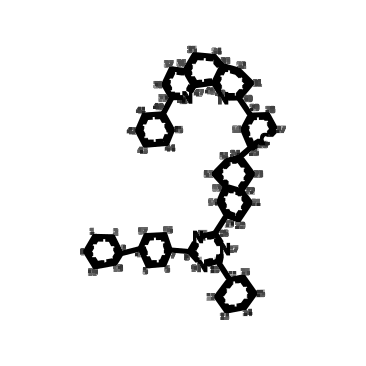 c1ccc(-c2ccc(-c3nc(-c4ccccc4)nc(-c4ccc5cc(-c6cccc(-c7ccc8ccc9ccc(-c%10ccccc%10)nc9c8n7)c6)ccc5c4)n3)cc2)cc1